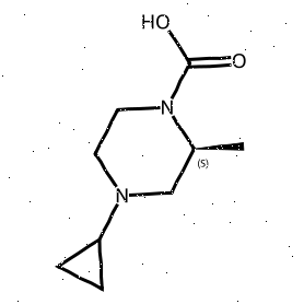 C[C@H]1CN(C2CC2)CCN1C(=O)O